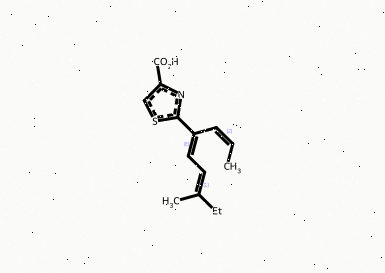 C\C=C/C(=C\C=C(/C)CC)c1nc(C(=O)O)cs1